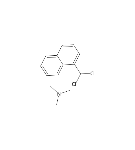 CN(C)C.ClC(Cl)c1cccc2ccccc12